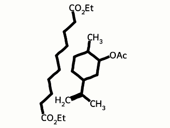 C=C(C)C1CCC(C)C(OC(C)=O)C1.CCOC(=O)CCCCCCCCC(=O)OCC